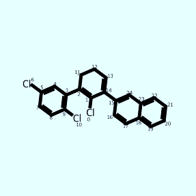 ClC1=C(c2cc(Cl)ccc2Cl)[CH]CC=C1c1ccc2ccccc2c1